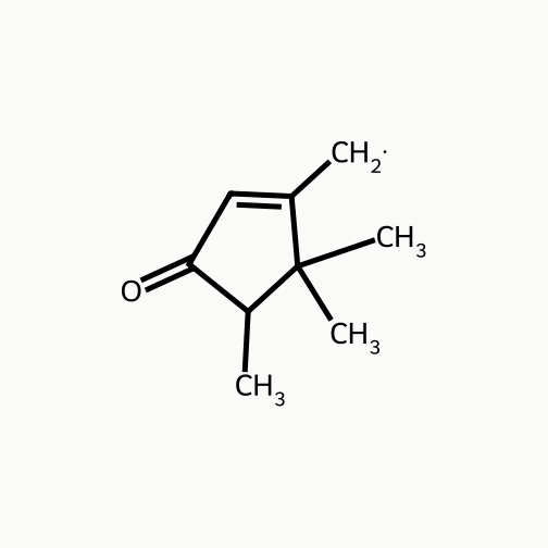 [CH2]C1=CC(=O)C(C)C1(C)C